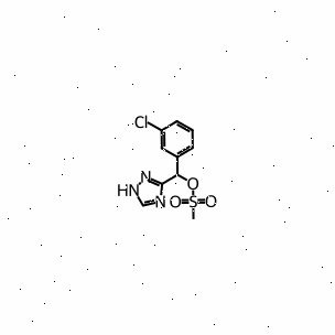 CS(=O)(=O)OC(c1cccc(Cl)c1)c1nc[nH]n1